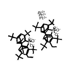 CCc1c(C(C)(C)C)cc(C(C)(C)C)c(P([O-])([O-])([O-])c2c(C(C)(C)C)cc(C(C)(C)C)cc2C(C)(C)C)c1C(C)(C)C.CCc1c(C(C)(C)C)cc(C(C)(C)C)c(P([O-])([O-])([O-])c2c(C(C)(C)C)cc(C(C)(C)C)cc2C(C)(C)C)c1C(C)(C)C.[Pt+2].[Pt+2].[Pt+2]